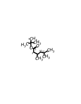 C[C](CC(=O)OC(C)(C)C)CC(C)C